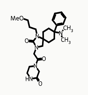 COCCCN1C(=O)N(CC(=O)N2CCNC(=O)C2)CC12CCC(c1ccccc1)(N(C)C)CC2